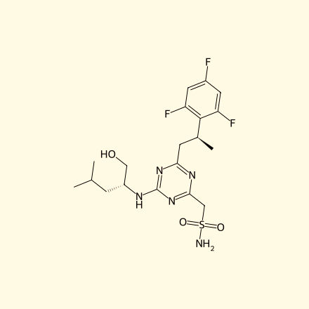 CC(C)C[C@H](CO)Nc1nc(C[C@H](C)c2c(F)cc(F)cc2F)nc(CS(N)(=O)=O)n1